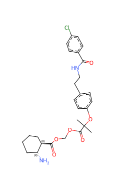 CC(C)(Oc1ccc(CCNC(=O)c2ccc(Cl)cc2)cc1)C(=O)OCOC(=O)[C@@H]1CCCC[C@H]1N